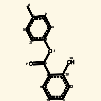 Cc1ccc(OC(=O)c2ccccc2O)cc1